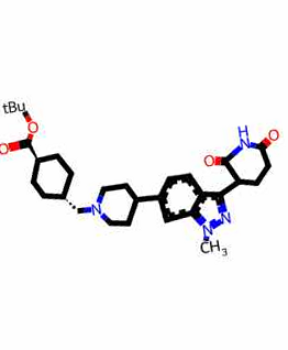 Cn1nc(C2CCC(=O)NC2=O)c2ccc(C3CCN(C[C@H]4CC[C@H](C(=O)OC(C)(C)C)CC4)CC3)cc21